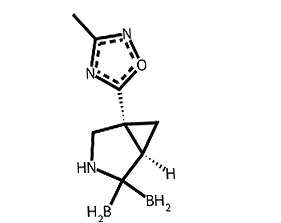 BC1(B)NC[C@@]2(c3nc(C)no3)C[C@@H]12